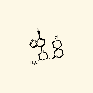 C[C@@H]1CN(c2ccc(C#N)n3nccc23)C[C@H](CN2CCCC3(CCNCC3)C2)O1